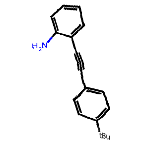 CC(C)(C)c1ccc(C#Cc2ccccc2N)cc1